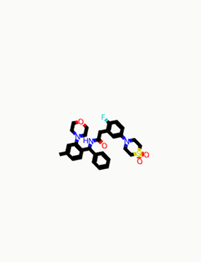 Cc1ccc(C(NC(=O)Cc2cc(N3CCS(=O)(=O)CC3)ccc2F)c2ccccc2)c(N2CCOCC2)c1